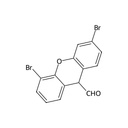 O=CC1c2ccc(Br)cc2Oc2c(Br)cccc21